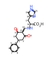 O=C1CC(c2ccccc2)CC(=O)C1=CNC(Cc1c[nH]cn1)C(=O)O